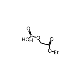 CCOC(=O)CO[PH](=O)O